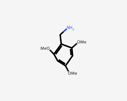 [CH2]Oc1cc(OC)c(CN)c(OC)c1